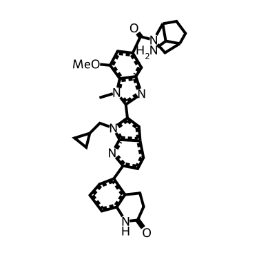 COc1cc(C(=O)N2CC3CCC2C3N)cc2nc(-c3cc4ccc(-c5cccc6c5CCC(=O)N6)nc4n3CC3CC3)n(C)c12